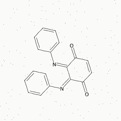 O=c1ccc(=O)c(=Nc2ccccc2)c1=Nc1ccccc1